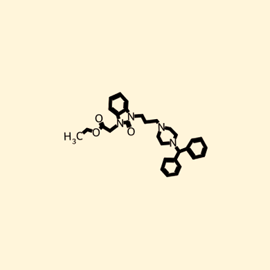 CCOC(=O)Cn1c(=O)n(CCCN2CCN(C(c3ccccc3)c3ccccc3)CC2)c2ccccc21